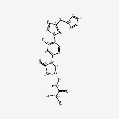 O=C(NC[C@H]1CN(c2ccc(-n3cnc(Cn4cncn4)c3)c(F)c2)C(=O)O1)C(F)F